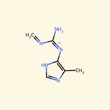 C=N/C(N)=N\c1[nH]cnc1C